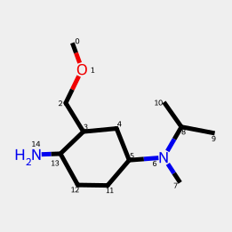 COCC1CC(N(C)C(C)C)CCC1N